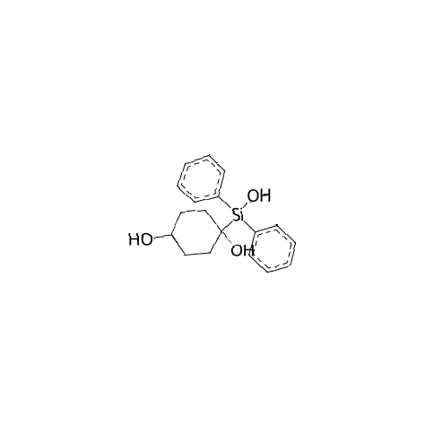 OC1CCC(O)([Si](O)(c2ccccc2)c2ccccc2)CC1